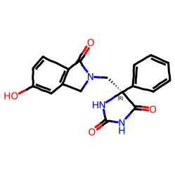 O=C1NC(=O)[C@](CN2Cc3cc(O)ccc3C2=O)(c2ccccc2)N1